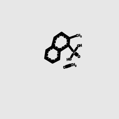 C=O.Cc1ccc2ccccc2c1P(=O)(O)O